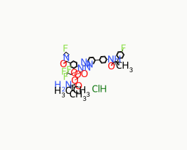 C[C@@H](C(=O)Nc1ccc(-c2ccc3nc(N(C(=O)OCOC(=O)[C@@H](N)C(C)(C)C)c4ccc(C(=O)N5CC(F)C5)cc4OCC(F)(F)F)nn3c2)cc1)c1ccc(F)cc1.Cl